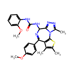 COc1ccc(C2=NC(NC(=O)Nc3ccccc3OC)c3nnc(C)n3-c3sc(C)c(C)c32)cc1